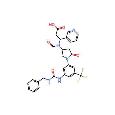 O=CN(C1CC(=O)N(c2cc(NC(=O)NCc3ccccc3)cc(C(F)(F)F)c2)C1)C(CC(=O)O)c1cccnc1